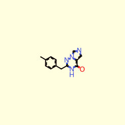 Cc1ccc(Cc2nn3cncc3c(=O)[nH]2)cc1